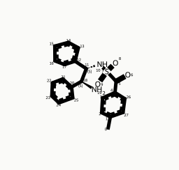 Cc1ccc(C(=O)S(=O)(=O)N[C@@H](c2ccccc2)[C@@H](N)c2ccccc2)cc1